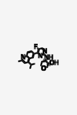 Cc1cc(C(C)C)c2cc(-c3nc(N[C@@H]4CCOC[C@H]4O)ncc3F)ccc2n1